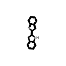 C1=c2ccccc2=NC1=C1Cc2ccccc2N1